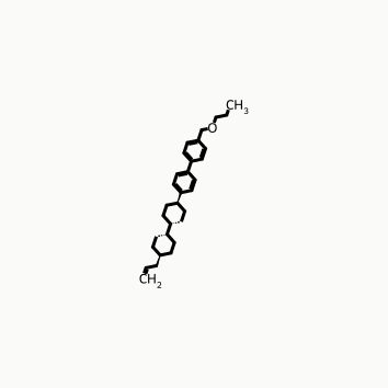 C=CC[C@H]1CC[C@H]([C@H]2CC[C@H](c3ccc(-c4ccc(COCCC)cc4)cc3)CC2)CC1